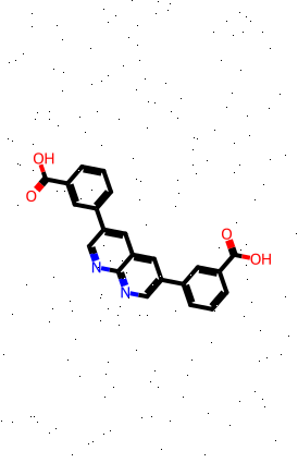 O=C(O)c1cccc(-c2cnc3ncc(-c4cccc(C(=O)O)c4)cc3c2)c1